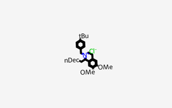 CCCCCCCCCCCC1=[N+](Cc2ccc(C(C)(C)C)cc2)CCc2cc(OC)c(OC)cc21.[Cl-]